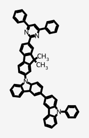 CC1(C)c2cc(-c3nc(-c4ccccc4)cc(-c4ccccc4)n3)ccc2-c2ccc(N3c4ccccc4C4C=C(c5ccc6c(c5)c5ccccc5n6-c5ccccc5)C=CC43)cc21